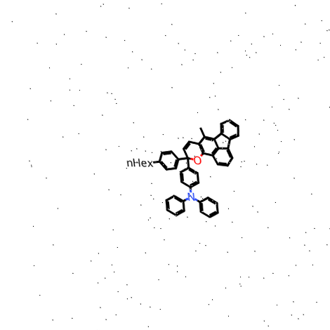 CCCCCCc1ccc(C2(c3ccc(N(c4ccccc4)c4ccccc4)cc3)C=Cc3c(C)c4c5c(cccc5c3O2)-c2ccccc2-4)cc1